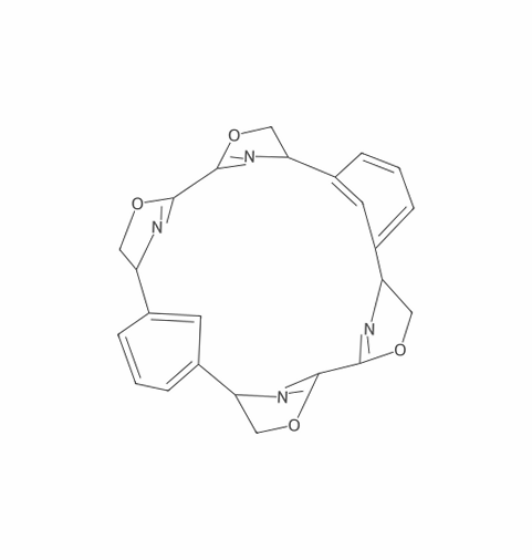 c1cc2cc(c1)C1COC(=N1)C1=NC(CO1)c1cccc(c1)C1COC(=N1)C1=NC2CO1